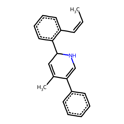 C/C=C\c1ccccc1C1C=C(C)C(c2ccccc2)=CN1